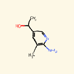 C[C](O)c1cnc(N)c(C)c1